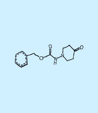 O=C1CCN(NC(=O)OCc2ccccc2)CC1